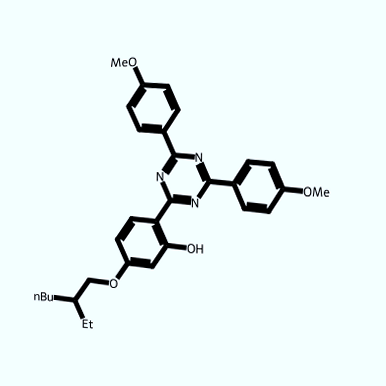 CCCCC(CC)COc1ccc(-c2nc(-c3ccc(OC)cc3)nc(-c3ccc(OC)cc3)n2)c(O)c1